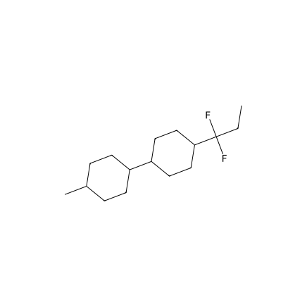 CCC(F)(F)C1CCC(C2CCC(C)CC2)CC1